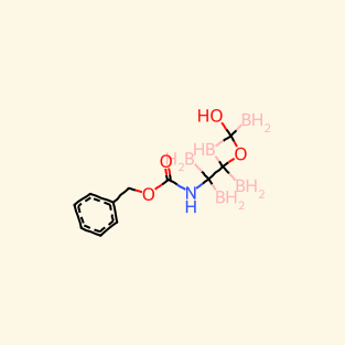 BC1(O)BC(B)(C(B)(B)NC(=O)OCc2ccccc2)O1